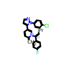 C=C1C=CC(c2ccnn2-c2ccc(Cl)cc2)=CN1/C(=C\C(C)C)c1ccc(F)cc1